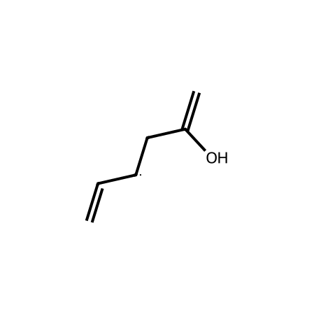 C=C[CH]CC(=C)O